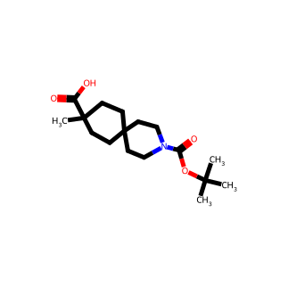 CC(C)(C)OC(=O)N1CCC2(CC1)CCC(C)(C(=O)O)CC2